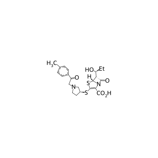 CC[C@H](O)[C@@H]1C(=O)N2C(C(=O)O)=C(S[C@H]3CCN(CC(=O)c4ccc(C)cc4)C3)S[C@H]12